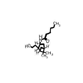 CCCCCC(=O)N[C@H]1C[C@H]2C[C@@H]([C@@H]1CCO)C2(C)C